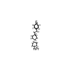 CCC[C@H]1CC[C@H](C2CC=C(CCc3ccc(F)cc3)CC2)CC1